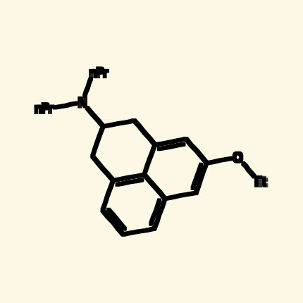 CCCN(CCC)C1Cc2cccc3cc(OCC)cc(c23)C1